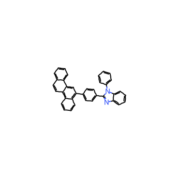 c1ccc(-n2c(-c3ccc(-c4cc5c6ccccc6ccc5c5ccccc45)cc3)nc3ccccc32)cc1